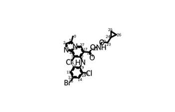 Cc1cnc2c(Cl)c(Nc3ccc(Br)cc3Cl)c(C(=O)ONOCC3CC3)cn12